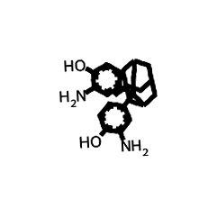 CC12CC3CC(C1)C(c1ccc(O)c(N)c1)(c1ccc(O)c(N)c1)C(C3)C2